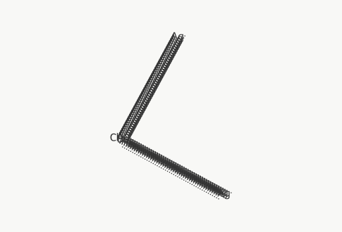 ClBr.[Ag].[Ag].[Ag].[Ag].[Ag].[Ag].[Ag].[Ag].[Ag].[Ag].[Ag].[Ag].[Ag].[Ag].[Ag].[Ag].[Ag].[Ag].[Ag].[Ag].[Ag].[Ag].[Ag].[Ag].[Ag].[Ag].[Ag].[Ag].[Ag].[Ag].[Ag].[Ag].[Ag].[Ag].[Ag].[Ag].[Ag].[Ag].[Ag].[Ag].[Ag].[Ag].[Ag].[Ag].[Ag].[Ag].[Ag].[Ag].[Ag].[Ag].[Ag].[Ag].[Ag].[Ag].[Ag].[Ag].[Ag].[Ag].[Ag].[Ag].[Ag].[Ag].[Ag].[Ag].[Ag].[Ag].[Ag].[Ag].[Ag].[Ag].[Ag].[Ag].[Ag].[Ag].[Ag].[Ag].[Ag].[Ag].[Ag].[Ag].[Ag].[Ag].[Ag].[Ag].[Ag].[Ag].[Ag].[Ag].[Ag].[Ag].[Ag].[Ag].[Ag].[Ag].[Ag].[Ag].[Ag].[Ag].[Ag]